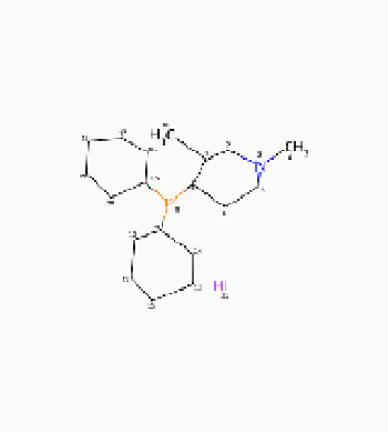 CC1CN(C)CCC1P(C1CCCCC1)C1CCCCC1.I